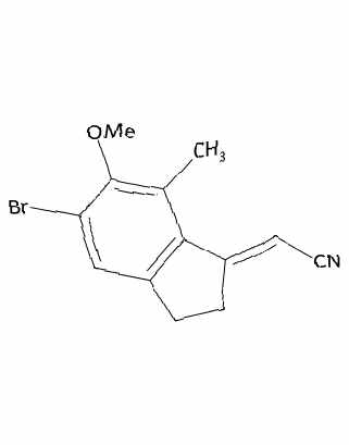 COc1c(Br)cc2c(c1C)/C(=C/C#N)CC2